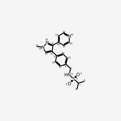 CC(C)S(=O)(=O)NCc1ccc(-c2cn(C)nc2-c2ccncc2)cc1